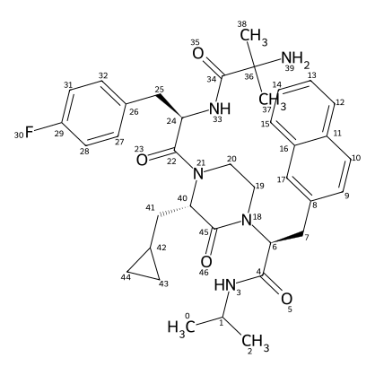 CC(C)NC(=O)[C@H](Cc1ccc2ccccc2c1)N1CCN(C(=O)[C@@H](Cc2ccc(F)cc2)NC(=O)C(C)(C)N)[C@@H](CC2CC2)C1=O